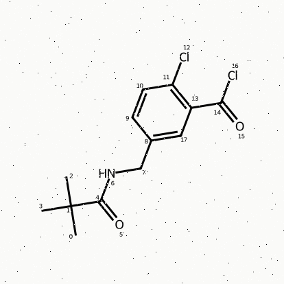 CC(C)(C)C(=O)NCc1ccc(Cl)c(C(=O)Cl)c1